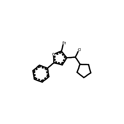 CCc1oc(-c2ccccc2)cc1C(Cl)C1CCCC1